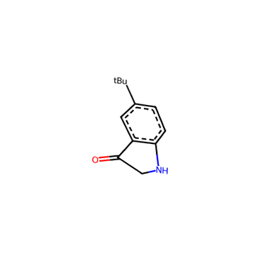 CC(C)(C)c1ccc2c(c1)C(=O)CN2